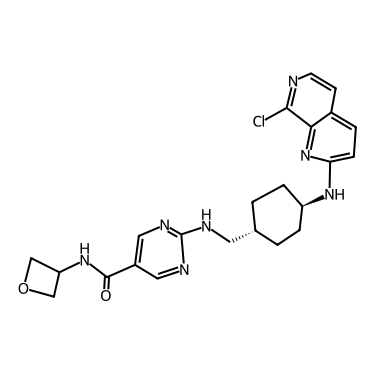 O=C(NC1COC1)c1cnc(NC[C@H]2CC[C@H](Nc3ccc4ccnc(Cl)c4n3)CC2)nc1